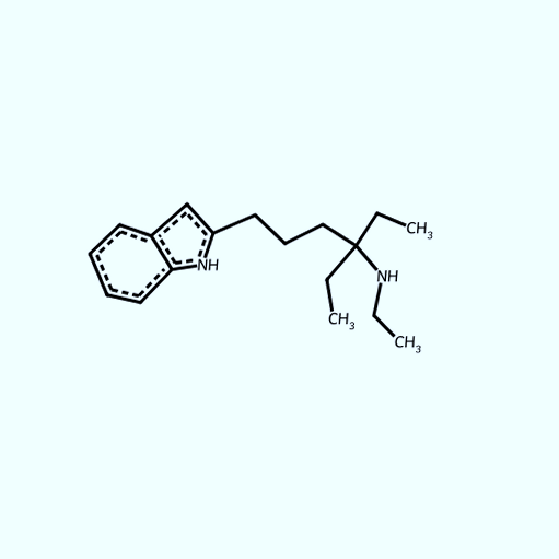 CCNC(CC)(CC)CCCc1cc2ccccc2[nH]1